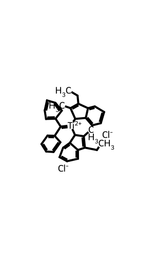 CCC1=C(C)[CH]([Ti+2](=[C](c2ccccc2)c2ccccc2)[CH]2C(C)=C(CC)c3ccccc32)c2ccccc21.[Cl-].[Cl-]